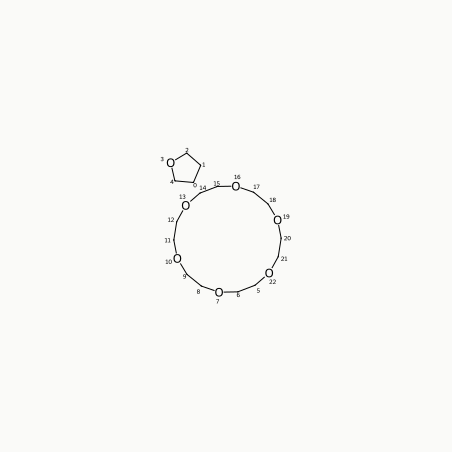 C1CCOC1.C1COCCOCCOCCOCCOCCO1